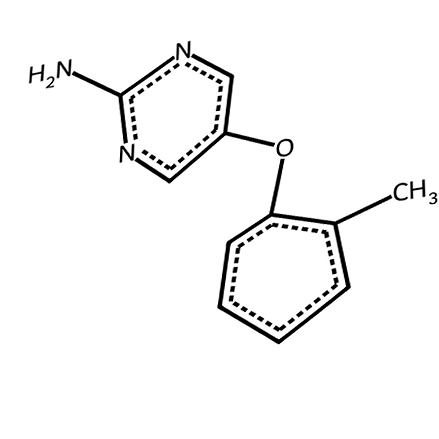 Cc1ccccc1Oc1cnc(N)nc1